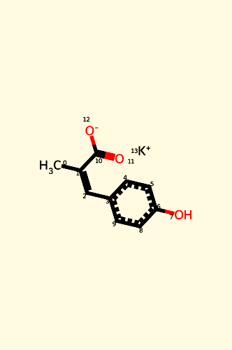 CC(=Cc1ccc(O)cc1)C(=O)[O-].[K+]